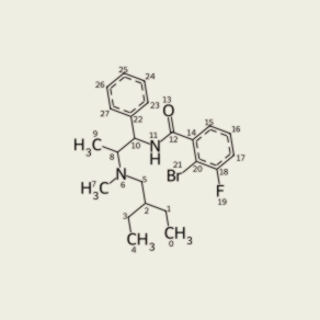 CCC(CC)CN(C)C(C)C(NC(=O)c1cccc(F)c1Br)c1ccccc1